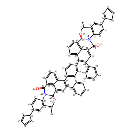 CC(C)c1cc(C2=CC=CC2)ccc1N1C(=O)c2cccc3c(-c4ccc(-c5c(-c6ccccc6)cc6c7c(cccc57)C(=O)N(c5ccc(C7C=CC=C7)cc5C(C)C)C6=O)cc4)c(-c4ccccc4)cc(c23)C1=O